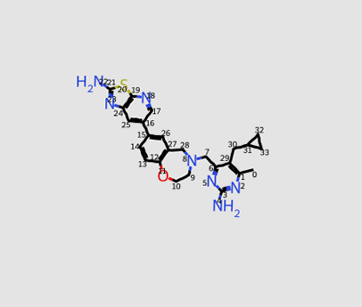 Cc1nc(N)nc(CN2CCOc3ccc(-c4cnc5sc(N)nc5c4)cc3C2)c1CC1CC1